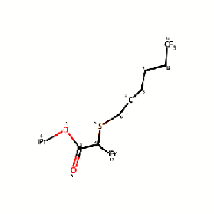 CC(C)OC(=O)C(SCCCCCC(F)(F)F)C(C)C